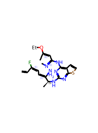 C=C/C(F)=C\C=C(/N)[C@H](C)Nc1nc(NC(/C=C(\C)OCC)=N/C)c2ccsc2n1